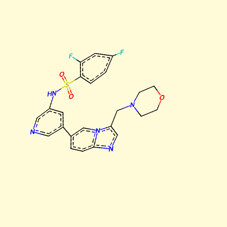 O=S(=O)(Nc1cncc(-c2ccc3ncc(CN4CCOCC4)n3c2)c1)c1ccc(F)cc1F